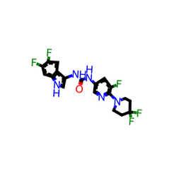 O=C(Nc1cnc(N2CCC(F)(F)CC2)c(F)c1)Nc1c[nH]c2cc(F)c(F)cc12